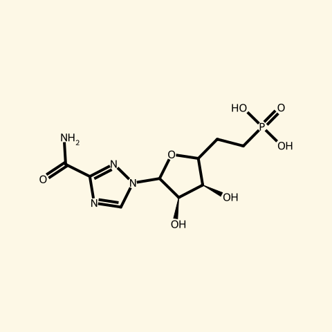 NC(=O)c1ncn(C2OC(CCP(=O)(O)O)[C@@H](O)[C@H]2O)n1